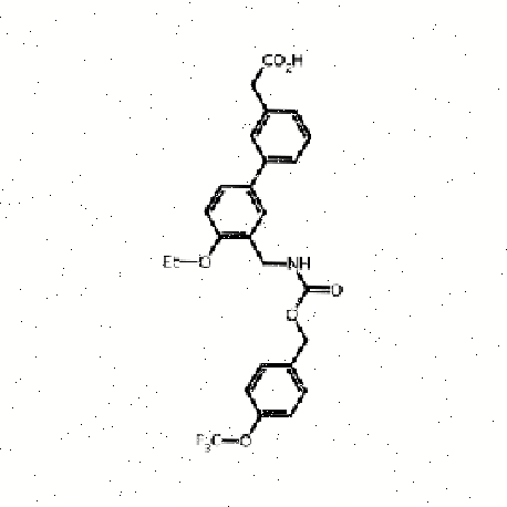 CCOc1ccc(-c2cccc(CC(=O)O)c2)cc1CNC(=O)OCc1ccc(OC(F)(F)F)cc1